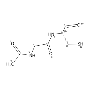 CC(=O)NCC(=O)N[C@H]([C]=O)CS